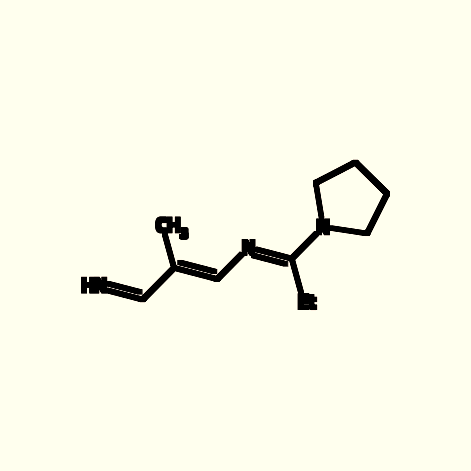 CC/C(=N\C=C(/C)C=N)N1CCCC1